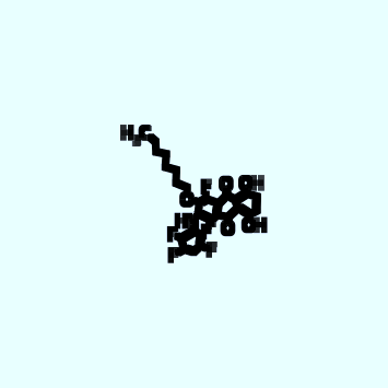 CCCCCCCCOc1c(F)c2c(c(F)c1Nc1c(F)c(F)cc(F)c1F)C(=O)c1c(O)ccc(O)c1C2=O